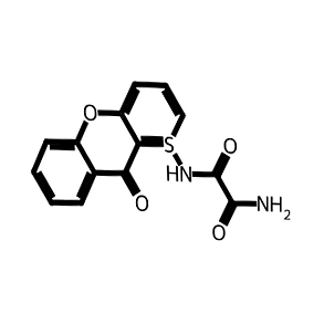 NC(=O)C(=O)NS1=c2c(oc3ccccc3c2=O)=CC=C1